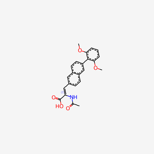 COc1cccc(OC)c1-c1ccc2cc(/C=C(\NC(C)=O)C(=O)O)ccc2c1